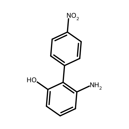 Nc1cccc(O)c1-c1ccc([N+](=O)[O-])cc1